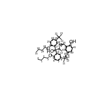 CCCCOc1ccc(C(C)(C)C)cc1C(O)(c1cc(C(C)(C)C)ccc1OCCCC)C(C)N=Cc1cc(Cl)ccc1O